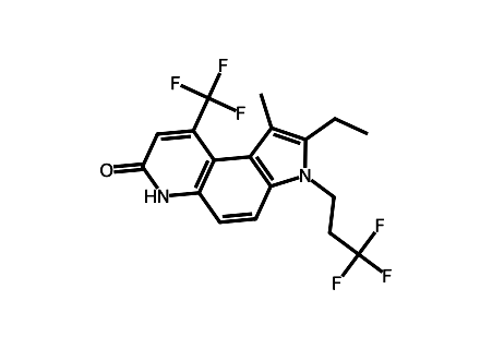 CCc1c(C)c2c3c(C(F)(F)F)cc(=O)[nH]c3ccc2n1CCC(F)(F)F